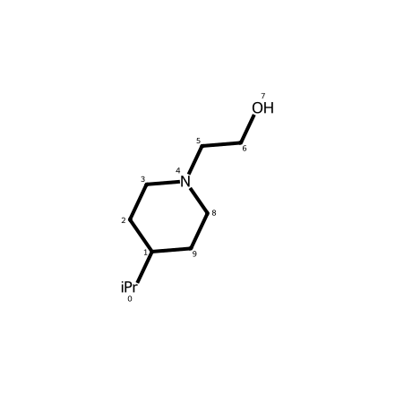 CC(C)C1CCN(CCO)CC1